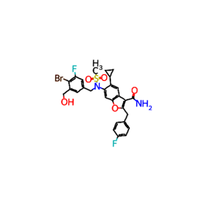 CS(=O)(=O)N(Cc1cc(F)c(Br)c(CO)c1)c1cc2oc(Cc3ccc(F)cc3)c(C(N)=O)c2cc1C1CC1